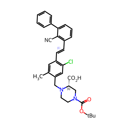 Cc1cc(/C=C/c2cccc(-c3ccccc3)c2C#N)c(Cl)cc1CN1CCN(C(=O)OC(C)(C)C)C[C@H]1C(=O)O